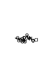 CCOC(=O)C[S+]([O-])c1ccc(C(=O)N2CCN(c3cccc(Cl)c3)[C@@H](C)C2)cc1[N+](=O)[O-]